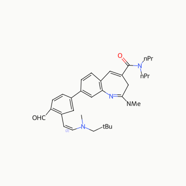 CCCN(CCC)C(=O)C1=Cc2ccc(-c3ccc(C=O)c(/C=C\N(C)CC(C)(C)C)c3)cc2N=C(NC)C1